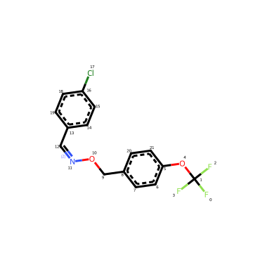 FC(F)(F)Oc1ccc(CO/N=[C]\c2ccc(Cl)cc2)cc1